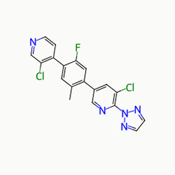 Cc1cc(-c2ccncc2Cl)c(F)cc1-c1cnc(-n2nccn2)c(Cl)c1